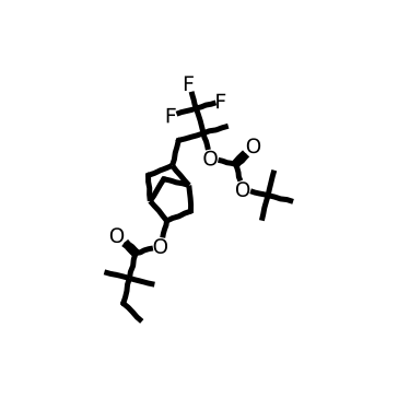 CCC(C)(C)C(=O)OC1CC2CC1CC2CC(C)(OC(=O)OC(C)(C)C)C(F)(F)F